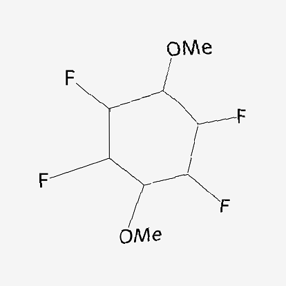 COC1C(F)C(F)C(OC)C(F)C1F